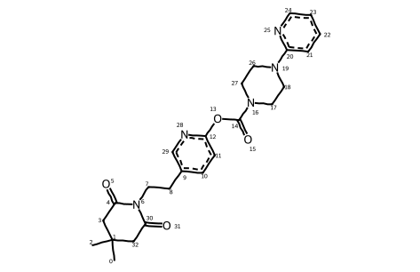 CC1(C)CC(=O)N(CCc2ccc(OC(=O)N3CCN(c4ccccn4)CC3)nc2)C(=O)C1